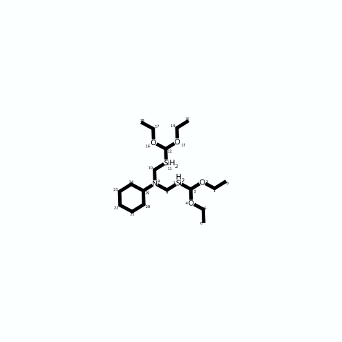 CCOC(OCC)[SiH2]CN(C[SiH2]C(OCC)OCC)C1CCCCC1